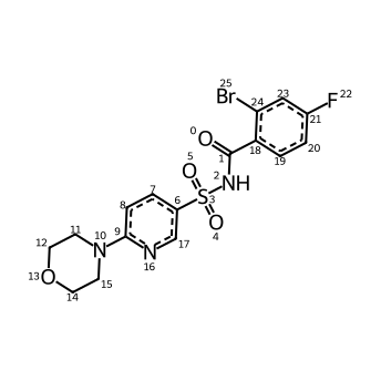 O=C(NS(=O)(=O)c1ccc(N2CCOCC2)nc1)c1ccc(F)cc1Br